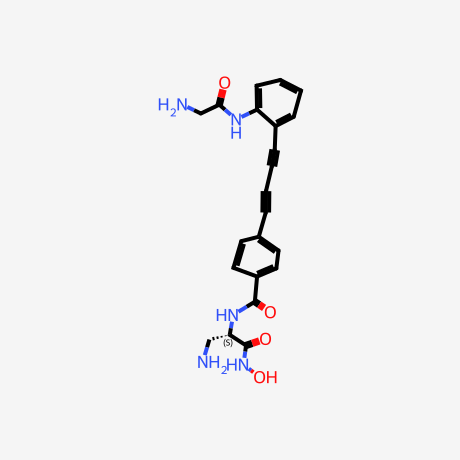 NCC(=O)Nc1ccccc1C#CC#Cc1ccc(C(=O)N[C@@H](CN)C(=O)NO)cc1